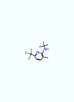 Cc1ccc(C(F)(F)F)nc1NC(C)(C)C